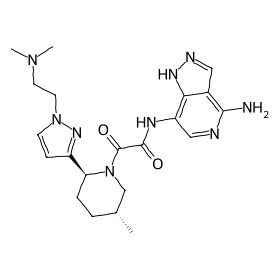 C[C@@H]1CC[C@@H](c2ccn(CCN(C)C)n2)N(C(=O)C(=O)Nc2cnc(N)c3cn[nH]c23)C1